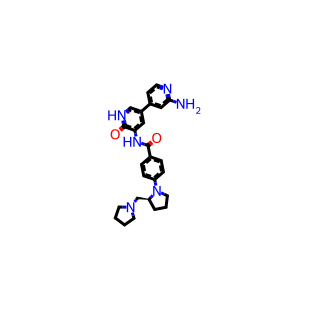 Nc1cc(-c2c[nH]c(=O)c(NC(=O)c3ccc(N4CCC[C@H]4CN4CCCC4)cc3)c2)ccn1